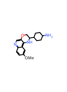 COc1ccc2ncc3c(c2c1)NC(C1CCC(N)CC1)CO3